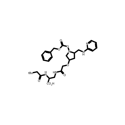 CC(C)(C)CC(=O)NC(CNC(=O)COC1CC(CNc2ccccn2)N(OC(=O)OCc2ccccc2)C1)C(=O)O